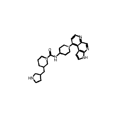 O=C(NC1CCN(c2ccnc3cnc4[nH]ccc4c23)CC1)N1CCCC(CC2CCNC2)C1